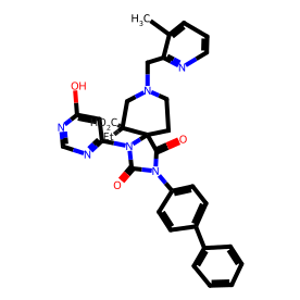 CCC1(C(=O)O)CN(Cc2ncccc2C)CCC12C(=O)N(c1ccc(-c3ccccc3)cc1)C(=O)N2c1cc(O)ncn1